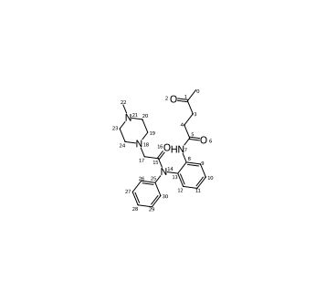 CC(=O)CCC(=O)Nc1ccccc1N(C(=O)CN1CCN(C)CC1)c1ccccc1